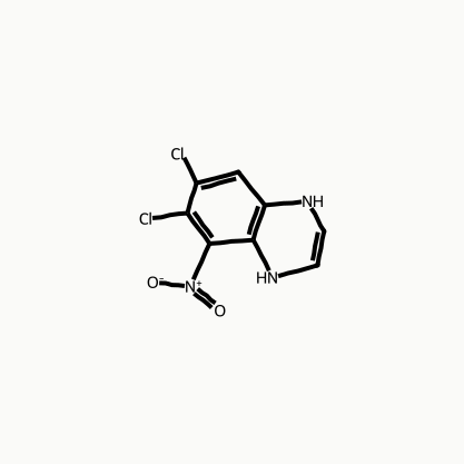 O=[N+]([O-])c1c(Cl)c(Cl)cc2c1NC=CN2